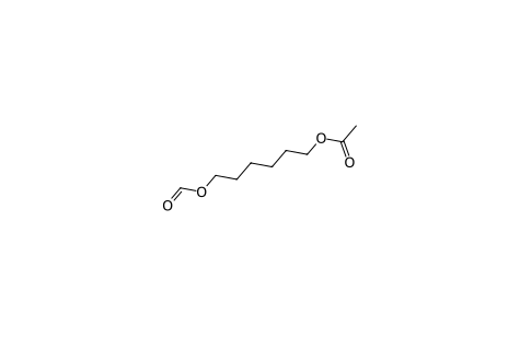 CC(=O)OCCCCCCOC=O